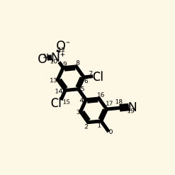 Cc1ccc(-c2c(Cl)cc([N+](=O)[O-])cc2Cl)cc1C#N